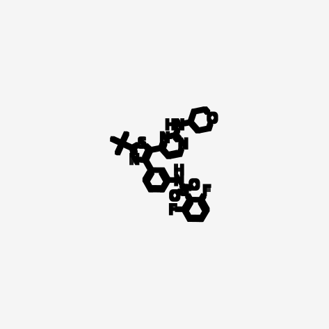 CC(C)(C)c1nc(-c2cccc(NS(=O)(=O)c3c(F)cccc3F)c2)c(-c2ccnc(NC3CCOCC3)n2)s1